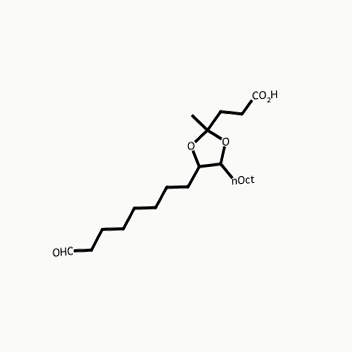 CCCCCCCCC1OC(C)(CCC(=O)O)OC1CCCCCCCC=O